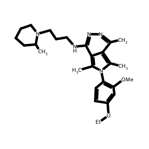 CCOc1ccc(-n2c(C)c3c(C)nnc(NCCCN4CCCCC4C)c3c2C)c(OC)c1